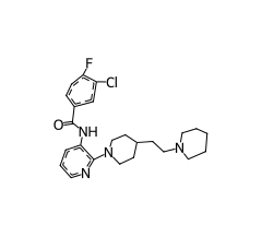 O=C(Nc1cccnc1N1CCC(CCN2CCCCC2)CC1)c1ccc(F)c(Cl)c1